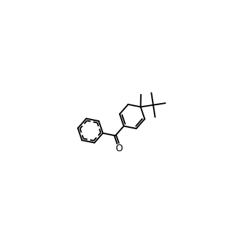 CC(C)(C)C1(C)C=CC(C(=O)c2ccccc2)=CC1